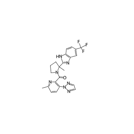 Cc1ccc(-n2nccn2)c(C(=O)N2CCCC2(C)c2nc3cc(C(F)(F)F)ccc3[nH]2)n1